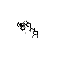 Cc1ccc(C2(O)C3CC2CC(S(=O)(=O)c2cc(C(=O)Nc4cc(F)c(F)c(F)c4)ccc2Cl)C3)cn1